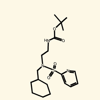 CC(C)(C)OC(=O)NCCN(CC1CCCCC1)S(=O)(=O)c1ccccn1